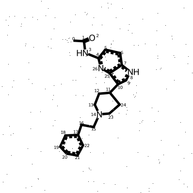 CC(=O)Nc1ccc2[nH]cc(C3CCN(CCc4ccccc4)CC3)c2n1